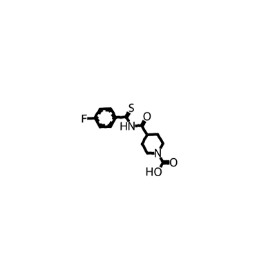 O=C(NC(=S)c1ccc(F)cc1)C1CCN(C(=O)O)CC1